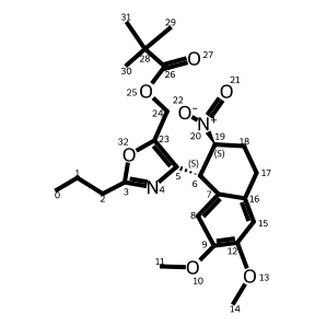 CCCc1nc([C@H]2c3cc(OC)c(OC)cc3CC[C@@H]2[N+](=O)[O-])c(COC(=O)C(C)(C)C)o1